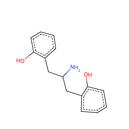 NC(Cc1ccccc1O)Cc1ccccc1O